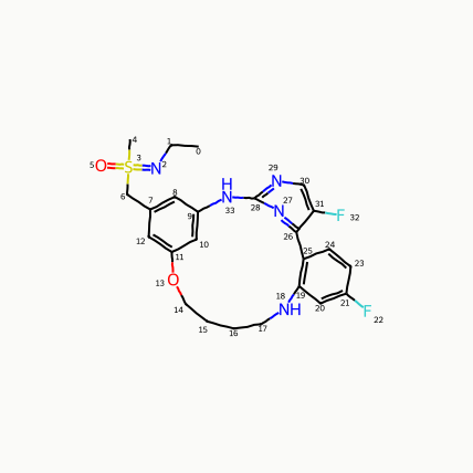 CCN=S(C)(=O)Cc1cc2cc(c1)OCCCCNc1cc(F)ccc1-c1nc(ncc1F)N2